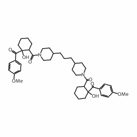 COc1ccc(C(=O)C2(O)CCCCC2C(=O)N2CCC(CCCC3CCN(C(=O)C4CCCCC4(O)C(=O)c4ccc(OC)cc4)CC3)CC2)cc1